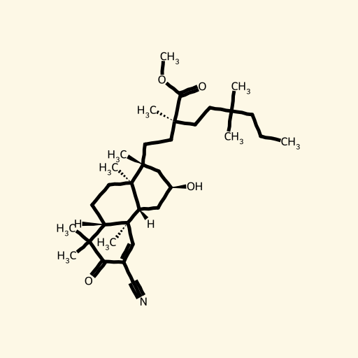 CCCC(C)(C)CC[C@@](C)(CC[C@]1(C)C[C@@H](O)C[C@@H]2[C@@]3(C)C=C(C#N)C(=O)C(C)(C)[C@@H]3CC[C@]21C)C(=O)OC